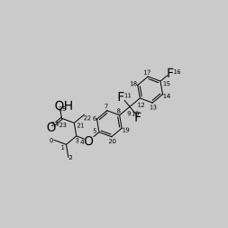 CC(C)C(Oc1ccc(C(F)(F)c2ccc(F)cc2)cc1)C(C)C(=O)O